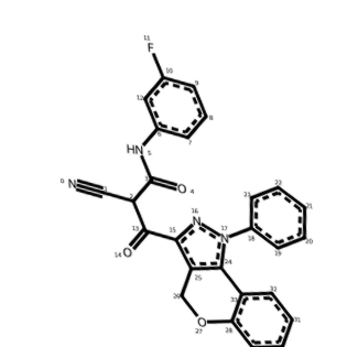 N#CC(C(=O)Nc1cccc(F)c1)C(=O)c1nn(-c2ccccc2)c2c1COc1ccccc1-2